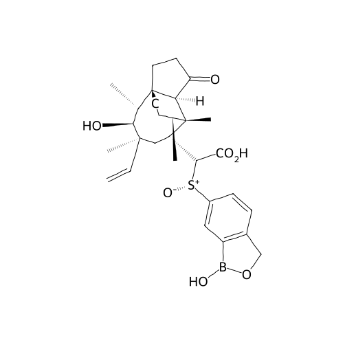 C=C[C@]1(C)C[C@@H](C(C(=O)O)[S@@+]([O-])c2ccc3c(c2)B(O)OC3)[C@]2(C)[C@H](C)CC[C@]3(CCC(=O)[C@H]32)[C@@H](C)[C@@H]1O